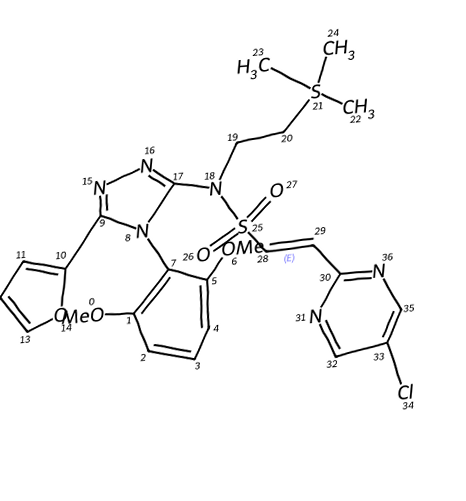 COc1cccc(OC)c1-n1c(-c2ccco2)nnc1N(CCS(C)(C)C)S(=O)(=O)/C=C/c1ncc(Cl)cn1